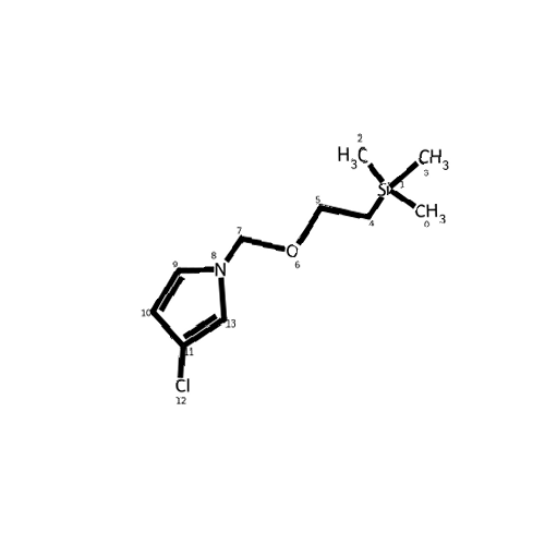 C[Si](C)(C)CCOCn1ccc(Cl)c1